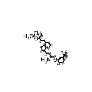 CC(C)OC(=O)CCC/C=C\C[C@H]1CCCC1/C=C/[C@@H](N)COc1cccc(C(F)(F)F)c1